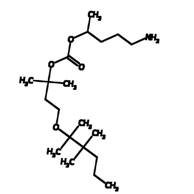 CCCC(C)(C)C(C)(C)OCCC(C)(C)OC(=O)OC(C)CCCN